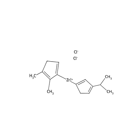 CC1=C(C)[C]([Zr+2][C]2=CC(C(C)C)=CC2)=CC1.[Cl-].[Cl-]